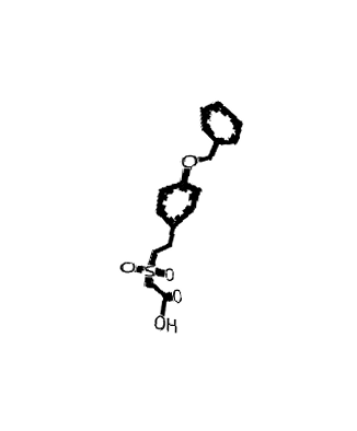 O=C(O)CS(=O)(=O)CCc1ccc(OCc2ccccc2)cc1